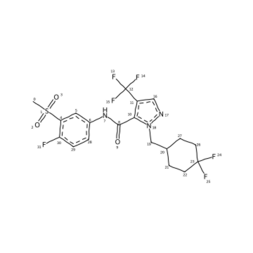 CS(=O)(=O)c1cc(NC(=O)c2c(C(F)(F)F)cnn2CC2CCC(F)(F)CC2)ccc1F